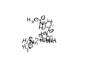 CC(=O)Nc1cccc(C(=O)Nc2c[nH]nc2C(=O)NCCN(C)C)c1